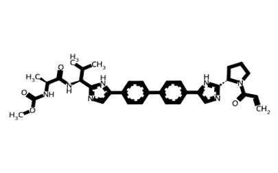 C=CC(=O)N1CCC[C@H]1c1ncc(-c2ccc(-c3ccc(-c4cnc([C@@H](NC(=O)[C@H](C)NC(=O)OC)C(C)C)[nH]4)cc3)cc2)[nH]1